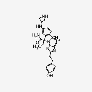 CCC(C(N)=O)(c1cc(NC2CNC2)ccc1C)n1cccc2nc(SCc3ccc(O)cc3)nc1-2